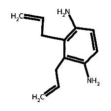 C=CCc1c(N)ccc(N)c1CC=C